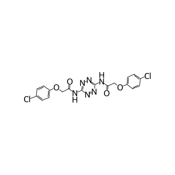 O=C(COc1ccc(Cl)cc1)Nc1nnc(NC(=O)COc2ccc(Cl)cc2)nn1